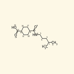 CC(C)CCCNC(=O)C1CCC(C(=O)O)CC1